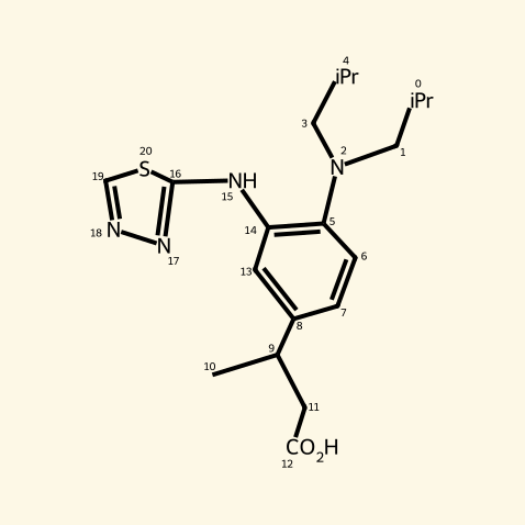 CC(C)CN(CC(C)C)c1ccc(C(C)CC(=O)O)cc1Nc1nncs1